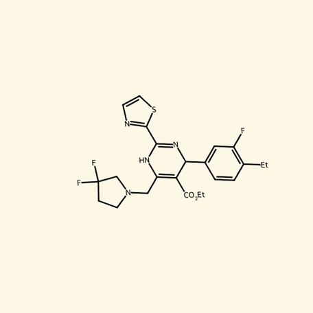 CCOC(=O)C1=C(CN2CCC(F)(F)C2)NC(c2nccs2)=NC1c1ccc(CC)c(F)c1